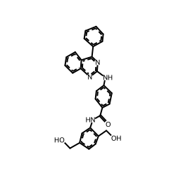 O=C(Nc1cc(CO)ccc1CO)c1ccc(Nc2nc(-c3ccccc3)c3ccccc3n2)cc1